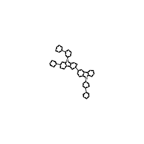 c1ccc(-c2ccc(-n3c4ccccc4c4cc(-c5ccc6c(c5)c5ccc(-c7ccccc7)cc5n6-c5cccc(-c6ccccc6)c5)ccc43)cc2)cc1